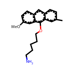 COc1ccc2cc3ccc(C)cc3c(OCCCCCN)c2c1